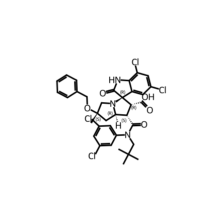 CC(C)(C)CN(C(=O)[C@@H]1[C@H]2C[C@](C)(OCc3ccccc3)CN2[C@]2(C(=O)Nc3c(Cl)cc(Cl)cc32)[C@@H]1C(=O)O)c1cc(Cl)cc(Cl)c1